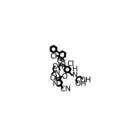 CC1(Cl)C(c2ccccc2)=CC=CC1(COc1cc(OCc2cncc(C#N)c2)c(CNC(CO)CO)cc1Cl)OCCCNC(CO)CO